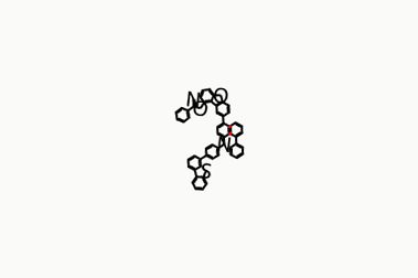 c1ccc(-c2nc3ccc4oc5ccc(-c6ccc(N(c7ccc(-c8cccc9c8sc8ccccc89)cc7)c7ccccc7-c7ccccc7)cc6)cc5c4c3o2)cc1